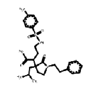 Cc1ccc(S(=O)(=O)NCCC(C(=O)O)C2(CC(C)C)CCN(CCc3ccccc3)C2=O)cc1